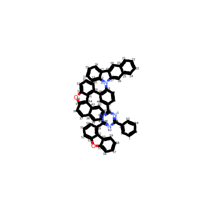 c1ccc(-c2nc(-c3ccc(-n4c5ccccc5c5cc6ccccc6cc54)c(-c4cccc5oc6ccc7ccccc7c6c45)c3)nc(-c3cccc4oc5ccccc5c34)n2)cc1